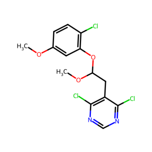 COc1ccc(Cl)c(OC(Cc2c(Cl)ncnc2Cl)OC)c1